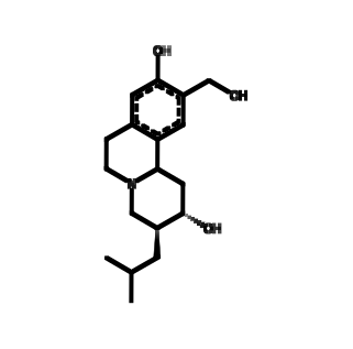 CC(C)C[C@H]1CN2CCc3cc(O)c(CO)cc3C2C[C@@H]1O